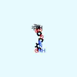 [2H]C1([2H])Oc2ccc(OC3CCN(c4nc5c(c(C)c4C)C(=O)NC5)CC3)cc2OC1([2H])[2H]